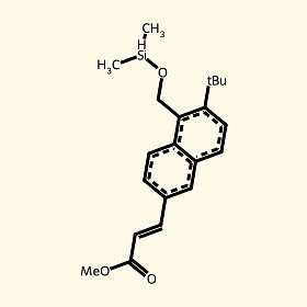 COC(=O)C=Cc1ccc2c(CO[SiH](C)C)c(C(C)(C)C)ccc2c1